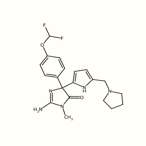 CN1C(=O)C(c2ccc(OC(F)F)cc2)(c2ccc(CN3CCCC3)[nH]2)N=C1N